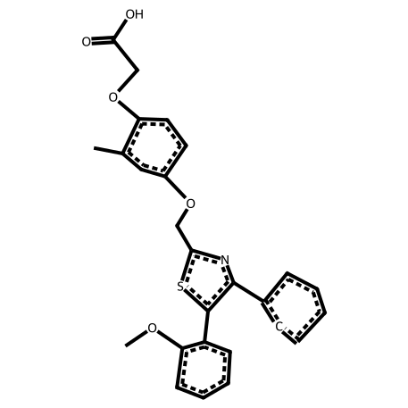 COc1ccccc1-c1sc(COc2ccc(OCC(=O)O)c(C)c2)nc1-c1ccccc1